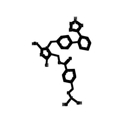 CCCCc1nc(Cl)c(COC(=O)c2ccc(CON(O)O)cc2)n1Cc1ccc(-c2ccccc2-c2nn[nH]n2)cc1